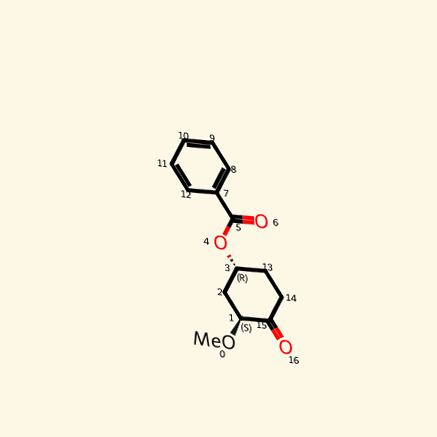 CO[C@H]1C[C@H](OC(=O)c2ccccc2)CCC1=O